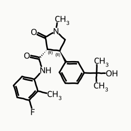 Cc1c(F)cccc1NC(=O)[C@@H]1C(=O)N(C)C[C@H]1c1cccc(C(C)(C)O)c1